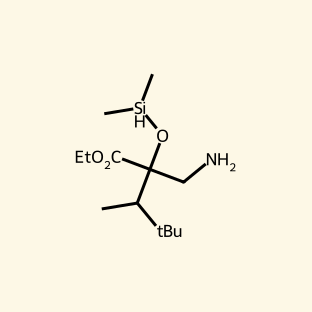 CCOC(=O)C(CN)(O[SiH](C)C)C(C)C(C)(C)C